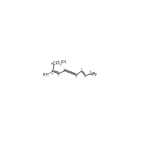 CCCC=CC=CC=C(CC)C(=O)OCC